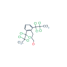 [O]CCCc1c(C(Cl)(Cl)C(Cl)(Cl)C(Cl)(Cl)Cl)cccc1C(Cl)(Cl)C(Cl)(Cl)C(Cl)(Cl)Cl